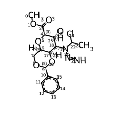 COC(=O)[C@@H]1O[C@@H]2CO[C@H](c3ccccc3)O[C@@H]2[C@H](N(N=N)C(C)Cl)[C@H]1O